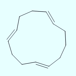 [C]1=C/CC/C=C/CC/C=C/CCC/1